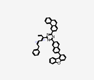 C=C/C(=C\C=C/Cc1ccccc1)c1nc(-c2ccc3cc(-c4cccc5oc6ccccc6c45)ccc3c2)nc(-c2ccc3ccc4ccccc4c3c2)n1